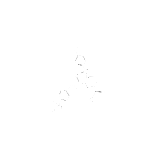 CCC(F)(F)c1ccc(CNC(=O)[C@H]2CN(C(=O)C3CC3)CCN2S(=O)(=O)c2ccc(OC(F)(F)F)cc2)cc1